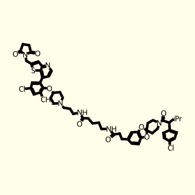 Cc1cc(Cl)cc(-c2ccnc3cc(CN4C(=O)CCC4=O)sc23)c1OC1CCN(CCCNC(=O)CCCCNC(=O)CCc2ccc3c(c2)OC2(CCN(C(=O)C(c4ccc(Cl)cc4)C(C)C)CC2)O3)CC1